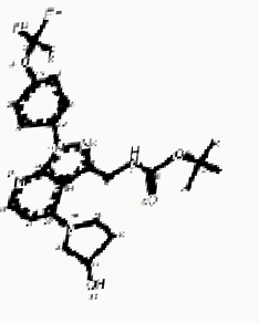 CC(C)(C)OC(=O)NCc1nn(-c2ccc(OC(F)(F)F)cc2)c2nccc(N3CCC(O)C3)c12